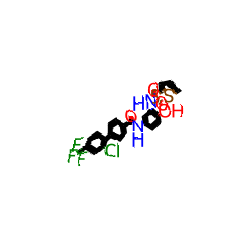 O=C(Nc1ccc(O)c(NS(=O)(=O)c2cccs2)c1)c1ccc(-c2ccc(C(F)(F)F)cc2Cl)cc1